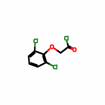 O=C(Cl)COc1c(Cl)cccc1Cl